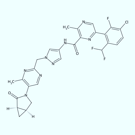 Cc1nc(Cn2cc(NC(=O)c3nc(-c4c(C(F)F)ccc(Cl)c4F)cnc3C)cn2)ncc1N1C[C@H]2C[C@H]2C1=O